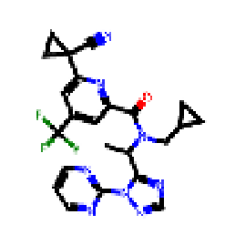 CC(c1ncnn1-c1ncccn1)N(CC1CC1)C(=O)c1cc(C(F)(F)F)cc(C2(C#N)CC2)n1